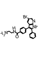 NCCNC(=O)c1ccc(-c2c(-c3ccccc3)[nH]c3ncc(Br)cc23)cc1